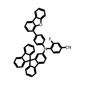 N#Cc1ccc(N(c2ccc(-c3cccc4c3oc3ccccc34)cc2)c2ccc3c(c2)C2(c4ccccc4-c4ccccc42)c2ccccc2-3)c(F)c1